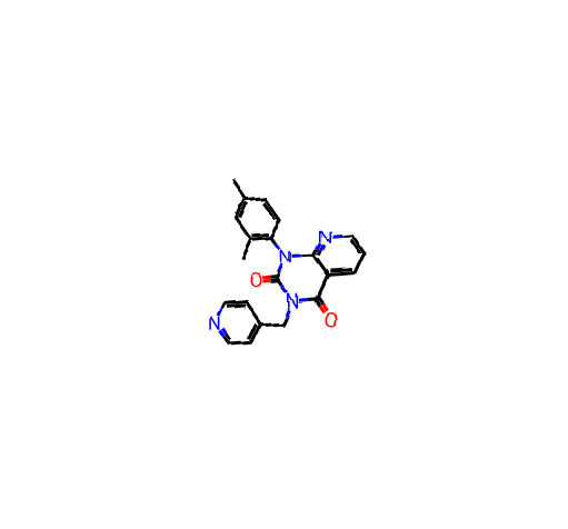 Cc1ccc(-n2c(=O)n(Cc3ccncc3)c(=O)c3cccnc32)c(C)c1